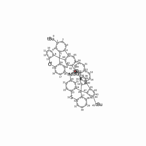 CC(C)(C)c1ccc2c(c1)C1(c3ccccc3Oc3ccc(N(c4ccc5c(c4)C4(c6ccccc6S5)c5cc(C(C)(C)C)ccc5-c5ccc(C(C)(C)C)cc54)c4cccc5ccccc45)cc31)c1cc(C(C)(C)C)ccc1-2